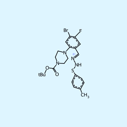 Cc1ccc(SN/N=C/c2cc(F)c(Br)cc2N2CCN(C(=O)OC(C)(C)C)CC2)cc1